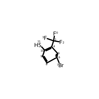 FC(F)(F)c1cc(Br)ccc1S